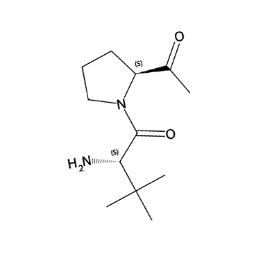 CC(=O)[C@@H]1CCCN1C(=O)[C@@H](N)C(C)(C)C